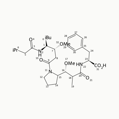 CC[C@H](C)[C@H](NC(=O)CC(C)C)[C@@H](CC(=O)N1CCCC1[C@H](OC)C(C)C(=O)N[C@@H](Cc1ccccc1)C(=O)O)OC